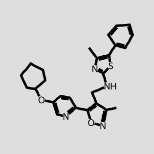 Cc1nc(NCc2c(C)noc2-c2ccc(OC3CCCCC3)cn2)sc1-c1ccccc1